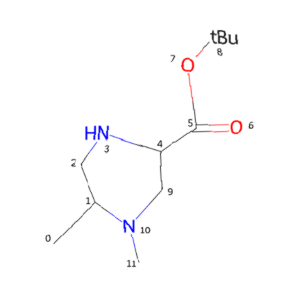 CC1CNC(C(=O)OC(C)(C)C)CN1C